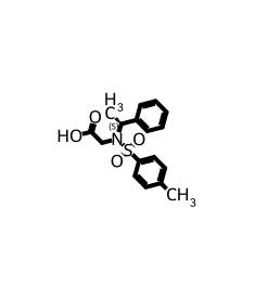 Cc1ccc(S(=O)(=O)N(CC(=O)O)[C@@H](C)c2ccccc2)cc1